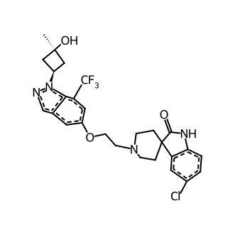 C[C@]1(O)C[C@@H](n2ncc3cc(OCCN4CCC5(CC4)C(=O)Nc4ccc(Cl)cc45)cc(C(F)(F)F)c32)C1